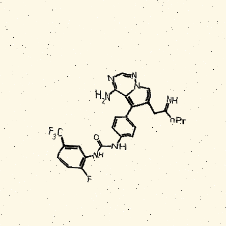 CCCC(=N)Cc1cn2ncnc(N)c2c1-c1ccc(NC(=O)Nc2cc(C(F)(F)F)ccc2F)cc1